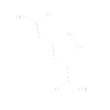 O=C(O)CCCCC(=O)O.[Se]=[Se]